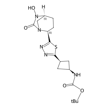 CC(C)(C)OC(=O)N[C@H]1C[C@@H](c2nnc([C@@H]3CC[C@H]4CN3C(=O)N4O)s2)C1